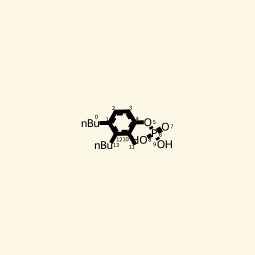 CCCCc1ccc(OP(=O)(O)O)c(C)c1CCCC